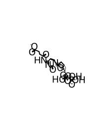 COC(=O)CCC(=O)Nc1ccn([C@H]2CC[C@@H](COP(=O)(O)OP(=O)(O)O)O2)c(=O)n1